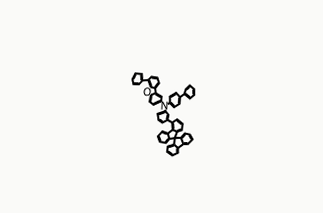 c1ccc(-c2ccc(N(c3cccc(-c4cccc5c4-c4ccccc4C54c5ccccc5-c5ccccc54)c3)c3ccc4oc5c(-c6ccccc6)cccc5c4c3)cc2)cc1